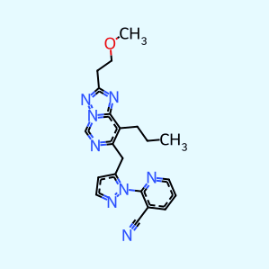 CCCc1c(Cc2ccnn2-c2ncccc2C#N)ncn2nc(CCOC)nc12